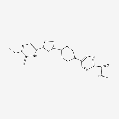 CCc1ccc(C2CCN(C3CCN(c4cnc(C(=O)NC)nc4)CC3)C2)[nH]c1=O